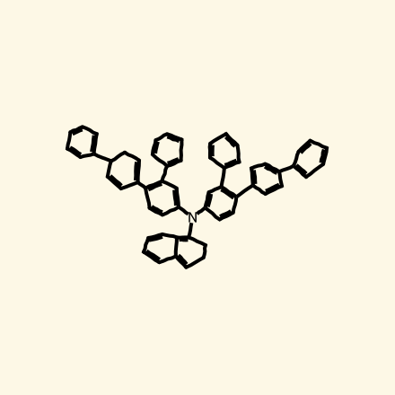 C1=CC(c2ccccc2)CC=C1c1ccc(N(C2=c3ccccc3=CCC2)c2ccc(-c3ccc(-c4ccccc4)cc3)c(-c3ccccc3)c2)cc1-c1ccccc1